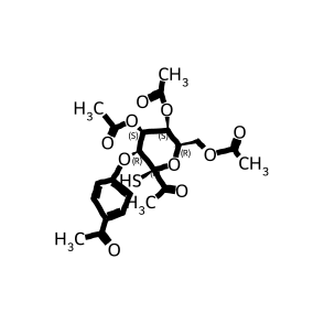 CC(=O)OC[C@H]1O[C@](S)(C(C)=O)[C@H](Oc2ccc(C(C)=O)cc2)[C@@H](OC(C)=O)[C@H]1OC(C)=O